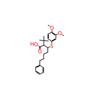 COc1ccc(SC(CCCCc2ccccc2)C(C(=O)O)C(C)(C)C)cc1OC